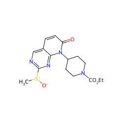 CCOC(=O)N1CCC(n2c(=O)ccc3cnc([S+](C)[O-])nc32)CC1